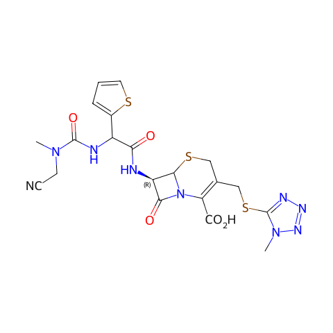 CN(CC#N)C(=O)NC(C(=O)N[C@@H]1C(=O)N2C(C(=O)O)=C(CSc3nnnn3C)CSC12)c1cccs1